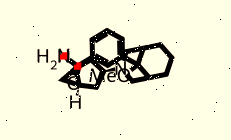 COC1(c2cccc(C(N)=O)c2)C2CCCC1CN([C@H]1C[C@H]3C[C@H]3C1)C2